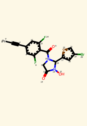 CC(C)C#Cc1cc(F)c(C(=O)N2CC(=O)N(O)C2c2cc(Br)cs2)c(F)c1